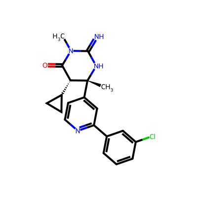 CN1C(=N)N[C@](C)(c2ccnc(-c3cccc(Cl)c3)c2)[C@H](C2CC2)C1=O